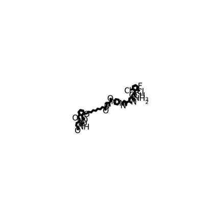 C[C@@H](Oc1cc(-c2cnn(C3CCN(C(=O)C4CN(C(=O)CCCCCCCOc5cccc6c5C(=O)N(C5CCC(=O)NC5=O)C6=O)C4)CC3)c2)cnc1N)c1c(Cl)ccc(F)c1Cl